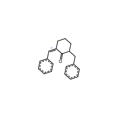 O=C1/C(=C\c2ccccc2)CCCC1Cc1ccccc1